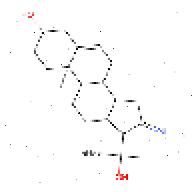 CCCCCCC(C)(O)C1C(=N)CC2C3CC=C4C[C@@H](O)CC[C@]4(C)C3CC[C@@]21C